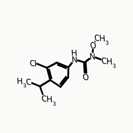 CON(C)C(=O)Nc1ccc(C(C)C)c(Cl)c1